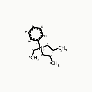 CCC[N+](CC)(CCC)c1ccccc1